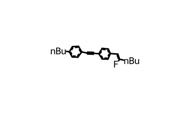 CCCCC(F)=Cc1ccc(C#Cc2ccc(CCCC)cc2)cc1